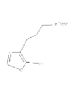 CCCCCCCCc1ccoc1[P]